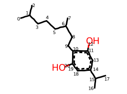 CC(C)CCCC(C)CCc1c(O)cc(C(C)C)cc1O